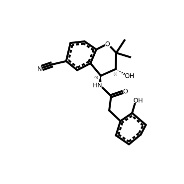 CC1(C)Oc2ccc(C#N)cc2[C@H](NC(=O)Cc2ccccc2O)[C@H]1O